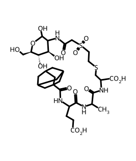 CC(NC(=O)C(CCC(=O)O)NC(=O)C12CC3CC(CC(C3)C1)C2)C(=O)NC(CSCCS(=O)(=O)CC(=O)NC1C(O)O[C@H](CO)[C@@H](O)[C@@H]1O)C(=O)O